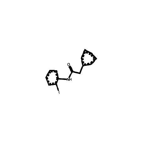 O=C(Cc1ccccc1)Nc1ccccc1I